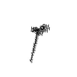 CCCCCCCCCCCCCCCCCCCCCCCCNC(=S)NC(COC1CCC(O)C(O)C1O)C(O)CC(O)CC